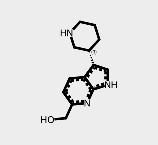 OCc1ccc2c([C@H]3CCCNC3)c[nH]c2n1